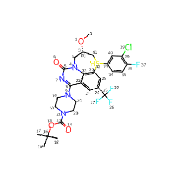 CO[C@H]1Cn2c(=O)nc(N3CCN(C(=O)OC(C)(C)C)CC3)c3cc(C(F)(F)F)cc(c32)[SH](c2ccc(F)c(Cl)c2)C1